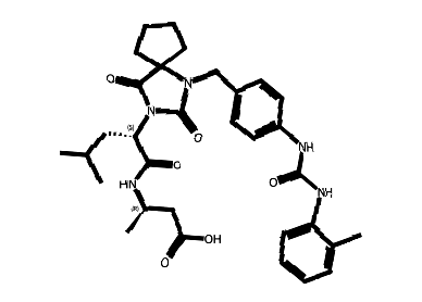 Cc1ccccc1NC(=O)Nc1ccc(CN2C(=O)N([C@@H](CC(C)C)C(=O)N[C@H](C)CC(=O)O)C(=O)C23CCCC3)cc1